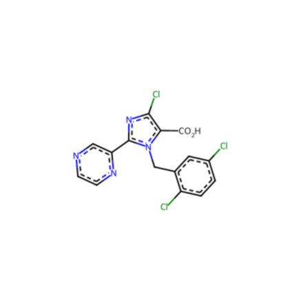 O=C(O)c1c(Cl)nc(-c2cnccn2)n1Cc1cc(Cl)ccc1Cl